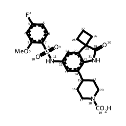 COc1cc(F)ccc1S(=O)(=O)Nc1cc(C2CCN(C(=O)O)CC2)c2c(c1)C1(CCC1)C(=O)N2